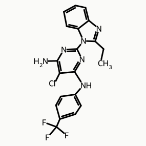 CCc1nc2ccccc2n1-c1nc(N)c(Cl)c(Nc2ccc(C(F)(F)F)cc2)n1